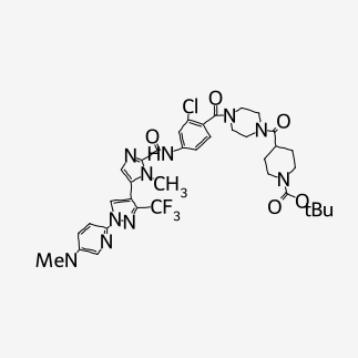 CNc1ccc(-n2cc(-c3cnc(C(=O)Nc4ccc(C(=O)N5CCN(C(=O)C6CCN(C(=O)OC(C)(C)C)CC6)CC5)c(Cl)c4)n3C)c(C(F)(F)F)n2)nc1